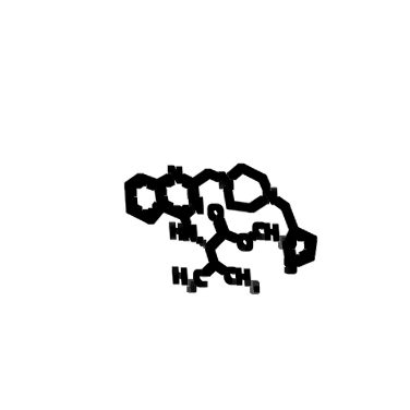 COC(=O)[C@@H](Nc1nc(CN2CCN(Cc3ccsc3)CC2)nc2ccccc12)C(C)C